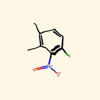 Cc1ccc(F)c([N+](=O)[O-])c1C